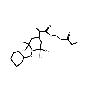 CC1(C)CC(C(O)C(=O)OSOC(=O)CO)CC(C)(C)N1OC1CCCCC1